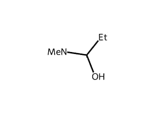 CC[C](O)NC